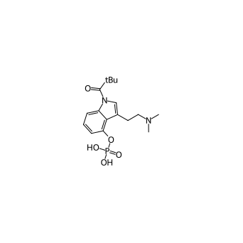 CN(C)CCc1cn(C(=O)C(C)(C)C)c2cccc(OP(=O)(O)O)c12